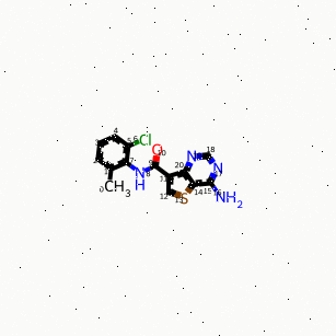 Cc1cccc(Cl)c1NC(=O)c1csc2c(N)ncnc12